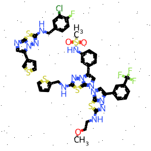 COCCNc1nn2c(-c3cccc(C(F)(F)F)c3)cnc2s1.CS(=O)(=O)Nc1cccc(-c2cnc3sc(NCc4cccs4)nn23)c1.Fc1ccc(CNc2nn3c(-c4ccsc4)cnc3s2)cc1Cl